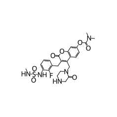 CNS(=O)(=O)Nc1cccc(Cc2c(CN3CCNCC3=O)c3ccc(OC(=O)N(C)C)cc3oc2=O)c1F